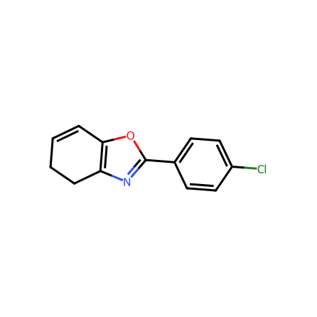 Clc1ccc(-c2nc3c(o2)C=CCC3)cc1